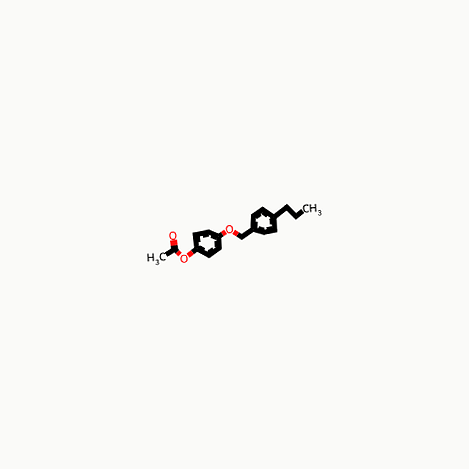 CCCc1ccc(COc2ccc(OC(C)=O)cc2)cc1